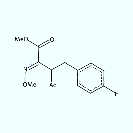 CO/N=C(/C(=O)OC)C(Cc1ccc(F)cc1)C(C)=O